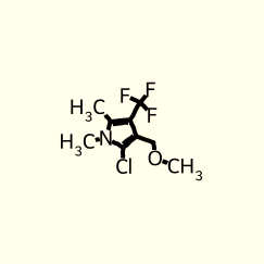 COCc1c(C(F)(F)F)c(C)n(C)c1Cl